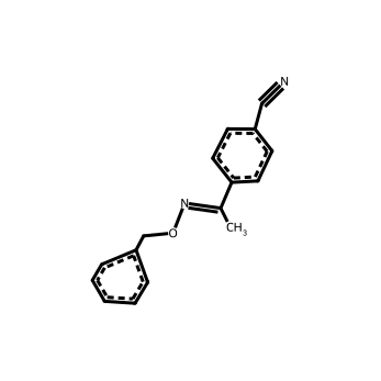 C/C(=N\OCc1ccccc1)c1ccc(C#N)cc1